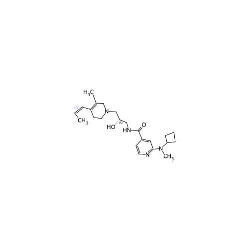 C/C=C\C1=C(C)CN(C[C@@H](O)CNC(=O)c2ccnc(N(C)C3CCC3)c2)CC1